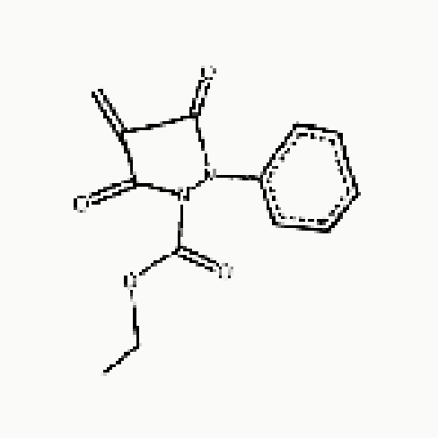 C=C1C(=O)N(C(=O)OCC)N(c2ccccc2)C1=O